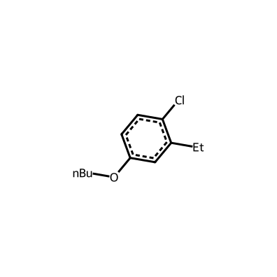 CCCCOc1ccc(Cl)c(CC)c1